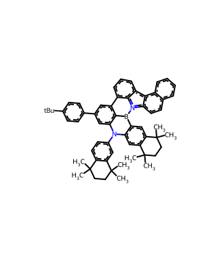 CC(C)(C)c1ccc(-c2cc3c4c(c2)N(c2ccc5c(c2)C(C)(C)CCC5(C)C)c2cc5c(cc2B4n2c4ccc6ccccc6c4c4cccc-3c42)C(C)(C)CCC5(C)C)cc1